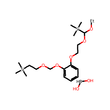 CCOC(OCCOc1ccccc1OCOCC[Si](C)(C)C)[Si](C)(C)C.OBO